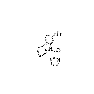 CCCc1ccc2c3ccccc3n(C(=O)c3ccccn3)c2c1